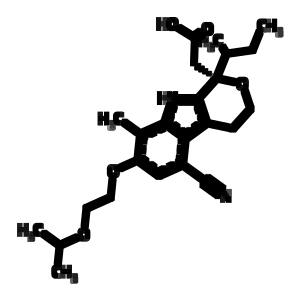 CCC(C)[C@@]1(CC(=O)O)OCCc2c1[nH]c1c(C)c(OCCOC(C)C)cc(C#N)c21